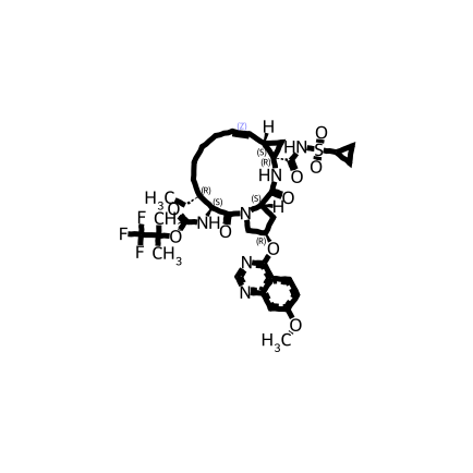 CC[C@@H]1CCCC/C=C\[C@@H]2C[C@@]2(C(=O)NS(=O)(=O)C2CC2)NC(=O)[C@@H]2C[C@@H](Oc3ncnc4cc(OC)ccc34)CN2C(=O)[C@H]1NC(=O)OC(C)(C)C(F)(F)F